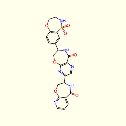 O=C1NC(c2cnc3c(n2)OCC(c2ccc4c(c2)S(=O)(=O)NCCO4)NC3=O)COc2ncccc21